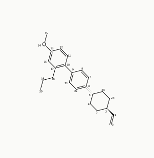 C=C[C@H]1CC[C@H](c2ccc(-c3ccc(OC)cc3CCC)cc2)CC1